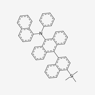 C[Si](C)(C)c1ccc(-c2c3ccccc3c(N(c3ccccc3)c3cccc4ccccc34)c3ccccc23)c2ccccc12